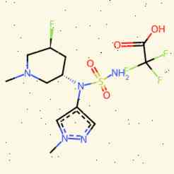 CN1C[C@@H](F)C[C@H](N(c2cnn(C)c2)S(N)(=O)=O)C1.O=C(O)C(F)(F)F